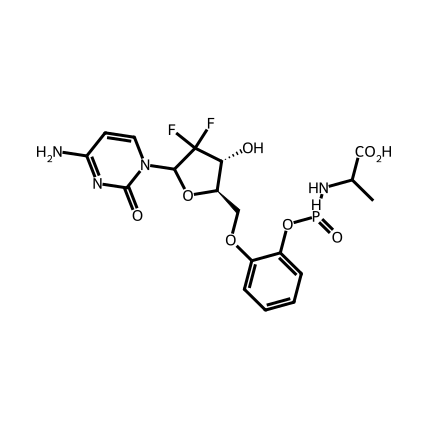 CC(N[PH](=O)Oc1ccccc1OC[C@H]1OC(n2ccc(N)nc2=O)C(F)(F)[C@@H]1O)C(=O)O